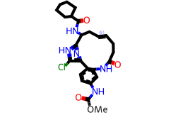 COC(=O)Nc1ccc2c(c1)NC(=O)CC/C=C/CC(NC(=O)C1CCCCC1)c1nc-2c(Cl)[nH]1